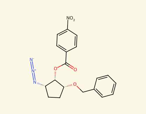 [N-]=[N+]=N[C@H]1CC[C@@H](OCc2ccccc2)[C@H]1OC(=O)c1ccc([N+](=O)[O-])cc1